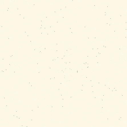 COc1ccccc1Cn1c(N(Cc2ccccc2)C2CCN(CCc3ccccc3)CC2)nc2ccccc21